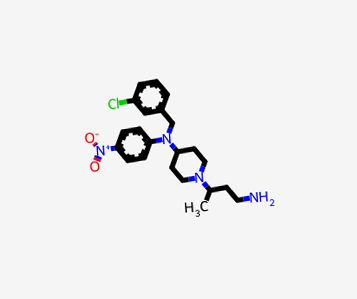 CC(CCN)N1CCC(N(Cc2cccc(Cl)c2)c2ccc([N+](=O)[O-])cc2)CC1